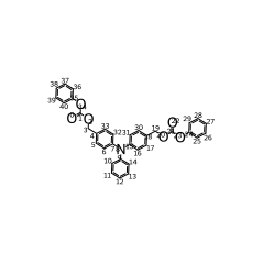 O=C(OCc1ccc(N(c2ccccc2)c2ccc(COC(=O)Oc3ccccc3)cc2)cc1)Oc1ccccc1